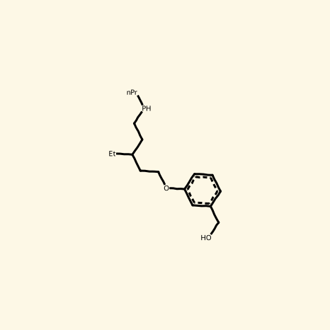 CCCPCCC(CC)CCOc1cccc(CO)c1